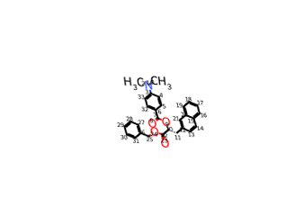 CN(C)c1ccc(C(=O)O[C@H](Cc2ccc3ccccc3c2)C(=O)OCc2ccccc2)cc1